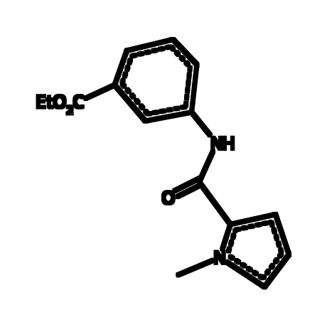 CCOC(=O)c1cccc(NC(=O)c2cccn2C)c1